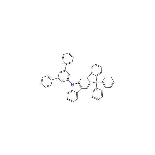 c1ccc(-c2cc(-c3ccccc3)cc(-n3c4ccccc4c4cc5c(cc43)-c3ccccc3C5(c3ccccc3)c3ccccc3)c2)cc1